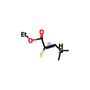 CCOC(=O)/C(F)=C/[SiH](C)C